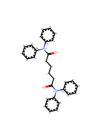 O=C(CCCCC(=O)N(c1ccccc1)c1ccccc1)N(c1ccccc1)c1ccccc1